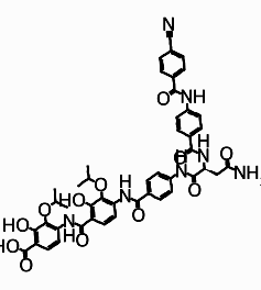 CC(C)Oc1c(NC(=O)c2ccc(NC(=O)c3ccc(NC(=O)[C@H](CC(N)=O)NC(=O)c4ccc(NC(=O)c5ccc(C#N)cc5)cc4)cc3)c(OC(C)C)c2O)ccc(C(=O)O)c1O